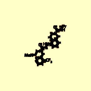 CNCCN(Cc1ncccc1C(F)(F)F)C(=O)CNc1cccc2c1CCN(C(=O)NC(C)C)C2